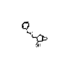 OC1C(COCc2ccccc2)CC2OC21